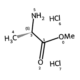 COC(=O)[C@H](C)N.Cl.Cl